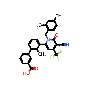 Cc1ccc(Cn2c(-c3cccc(-c4cccc(C(=O)O)c4)c3C)cc(C(F)(F)F)c(C#N)c2=O)c(C)c1